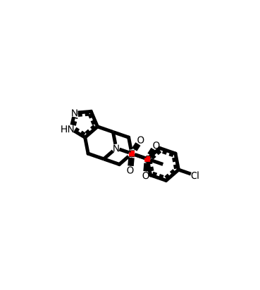 CS(=O)(=O)N1CC2Cc3[nH]ncc3C(C1)N2S(=O)(=O)c1ccc(Cl)cc1